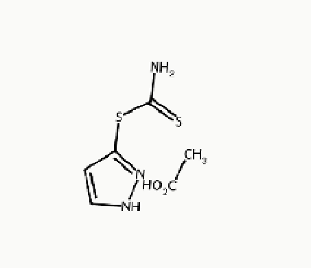 CC(=O)O.NC(=S)Sc1cc[nH]n1